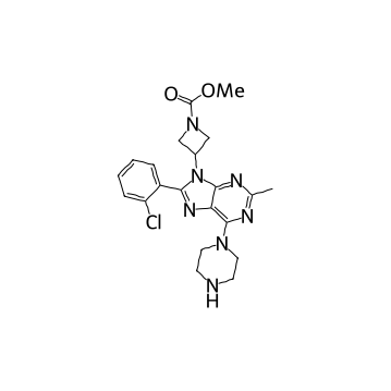 COC(=O)N1CC(n2c(-c3ccccc3Cl)nc3c(N4CCNCC4)nc(C)nc32)C1